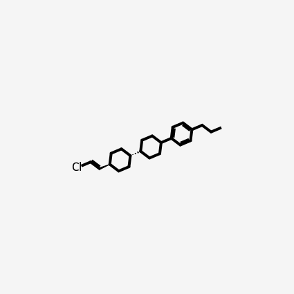 CCCc1ccc(C2CCC([C@H]3CC[C@H](/C=C/Cl)CC3)CC2)cc1